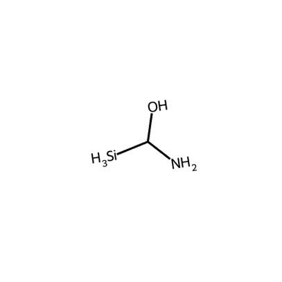 NC(O)[SiH3]